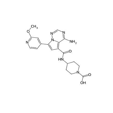 COc1cc(-c2cc(C(=O)NC3CCN(C(=O)O)CC3)c3c(N)ncnn23)ccn1